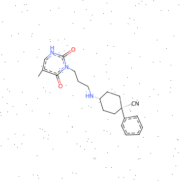 Cc1c[nH]c(=O)n(CCCN[C@H]2CC[C@](C#N)(c3ccccc3)CC2)c1=O